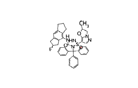 CC1Cn2ncc(S(=N)(=O)N(C(=O)Nc3c4c(cc5c3C[C@@H](F)C5)CCC4)C(c3ccccc3)(c3ccccc3)c3ccccc3)c2O1